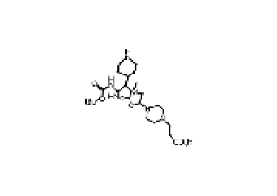 CC(C)(C)OC(=O)NC(=N)C(C1CCNCC1)[N+]1(C)CC(N2CCN(CCC(=O)O)CC2)OC1=O